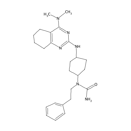 CN(C)c1nc(NC2CCC(N(CCc3ccccc3)C(N)=O)CC2)nc2c1CCCC2